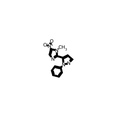 Cn1c([N+](=O)[O-])cnc1-c1ccnn1-c1ccccc1